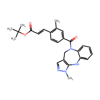 Cc1cc(C(=O)N2Cc3cnn(C)c3Nc3ccccc32)ccc1/C=C/C(=O)OC(C)(C)C